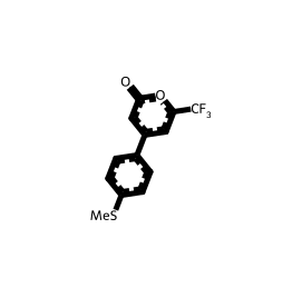 CSc1ccc(-c2cc(C(F)(F)F)oc(=O)c2)cc1